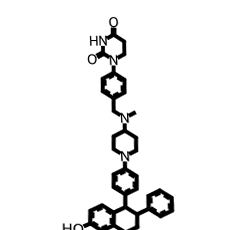 CN(Cc1ccc(N2CCC(=O)NC2=O)cc1)C1CCN(c2ccc(C3c4ccc(O)cc4CCC3c3ccccc3)cc2)CC1